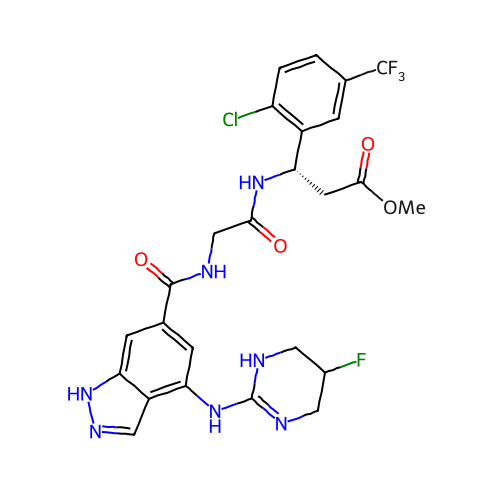 COC(=O)C[C@H](NC(=O)CNC(=O)c1cc(NC2=NCC(F)CN2)c2cn[nH]c2c1)c1cc(C(F)(F)F)ccc1Cl